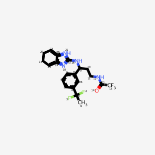 CC(F)(F)c1cccc(C(CCNC(=O)C(F)(F)F)Nc2nc3c([nH]2)=CCCC=3)c1